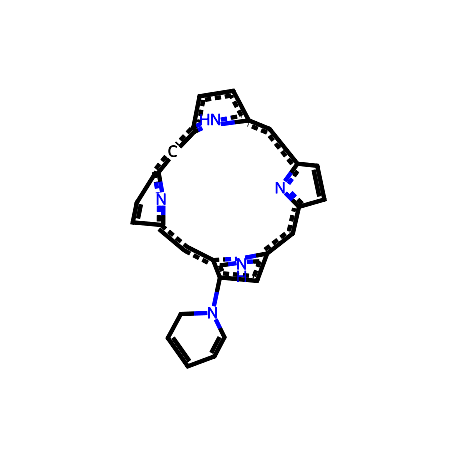 C1=CCN(c2cc3cc4nc(cc5ccc(cc6nc(cc2[nH]3)C=C6)[nH]5)C=C4)C=C1